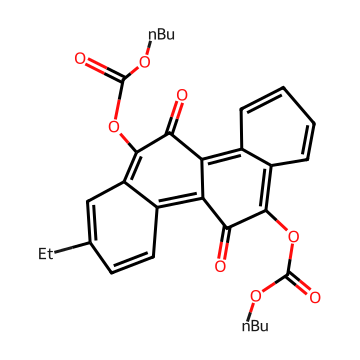 CCCCOC(=O)OC1=c2ccccc2=C2C(=O)C(OC(=O)OCCCC)=c3cc(CC)ccc3=C2C1=O